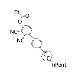 CCCCCC12CCC(c3ccc(-c4ccc(OC(=O)CC)c(C#N)c4C#N)cc3)(CC1)CC2